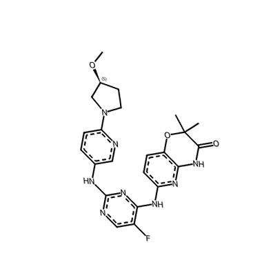 CO[C@H]1CCN(c2ccc(Nc3ncc(F)c(Nc4ccc5c(n4)NC(=O)C(C)(C)O5)n3)cn2)C1